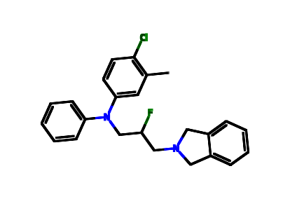 Cc1cc(N(CC(F)CN2Cc3ccccc3C2)c2ccccc2)ccc1Cl